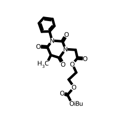 CC(C)COC(=O)OCCOC(=O)CN1C(=O)C(C)C(=O)N(c2ccccc2)C1=O